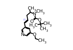 CCOc1cncc(/C=C/CC(C)N(C)C(=O)OC(C)(C)C)c1